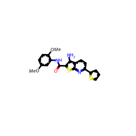 COc1ccc(OC)c(NC(=O)c2sc3nc(-c4cccs4)ccc3c2N)c1